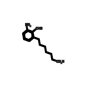 O=Cc1c(CCCCCCC(=O)O)cccc1[N+](=O)[O-]